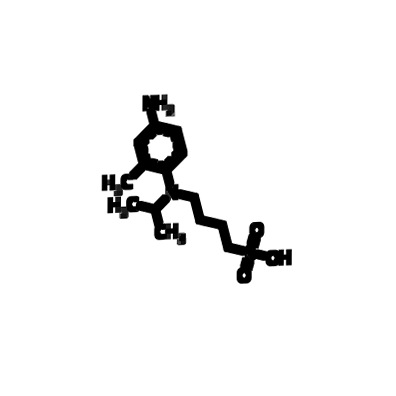 Cc1cc(N)ccc1N(CCCCS(=O)(=O)O)C(C)C